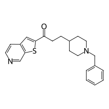 O=C(CCC1CCN(Cc2ccccc2)CC1)c1cc2ccncc2s1